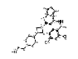 CC(Nc1cc(N2CC(C3CCN(CCO)CC3)C2)nc2ncnn12)c1ccc(Cl)cc1Cl